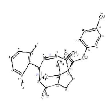 C=C1/C=C(c2c(F)cccc2F)\N=N/C(=C)[C@]2(C(=O)Nc3ccc(C#N)cn3)CCC1C2(C)C